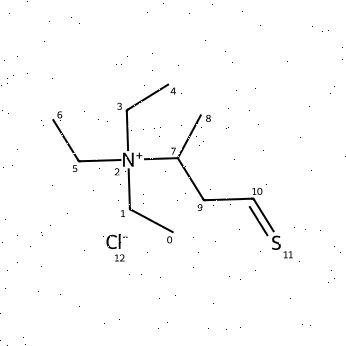 CC[N+](CC)(CC)C(C)CC=S.[Cl-]